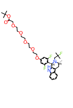 C[C@@H]1Cc2c([nH]c3ccccc23)[C@@H](c2c(F)cc(OCCOCCOCCOCCOCC(=O)OC(C)(C)C)cc2F)N1CC(C)(C)F